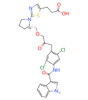 Cn1cc(C(=O)Nc2cc(Cl)c(CC(=O)COC[C@@H]3CCCN3c3ncc(CCC(=O)O)s3)cc2Cl)c2ccccc21